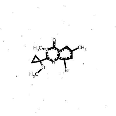 COC1(c2nc3c(Br)cc(C)cc3c(=O)n2C)CC1